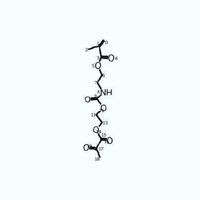 C=C(C)C(=O)OCCNC(=O)OCCOC(=O)C(C)=O